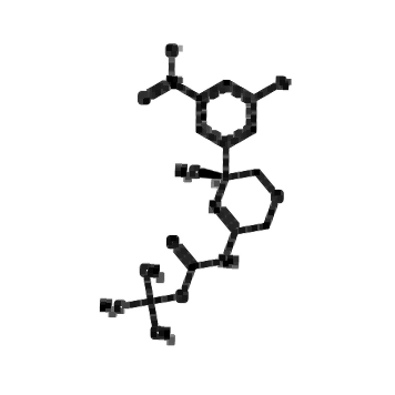 CC(C)(C)OC(=O)NC1=N[C@](C)(c2cc(Br)cc([N+](=O)[O-])c2)COC1